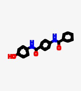 O=C(Nc1ccc(C(=O)Nc2ccc(O)cc2)cc1)c1ccccc1